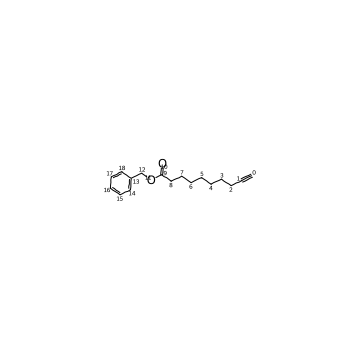 C#CCCCCCCCC(=O)OCc1ccccc1